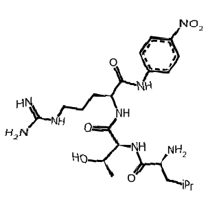 CC(C)C[C@H](N)C(=O)N[C@H](C(=O)N[C@@H](CCCNC(=N)N)C(=O)Nc1ccc([N+](=O)[O-])cc1)[C@@H](C)O